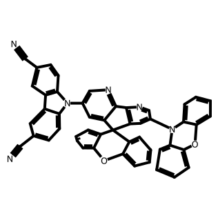 N#Cc1ccc2c(c1)c1cc(C#N)ccc1n2-c1cnc2c(c1)C1(c3ccccc3Oc3ccccc31)c1cc(N3c4ccccc4Oc4ccccc43)cnc1-2